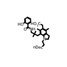 CCCCCCCCCCCCN1CCc2c(C)c(CC(=O)O)c(C)c(CC(C)(C)CNC(=O)c3ccccc3O)c21